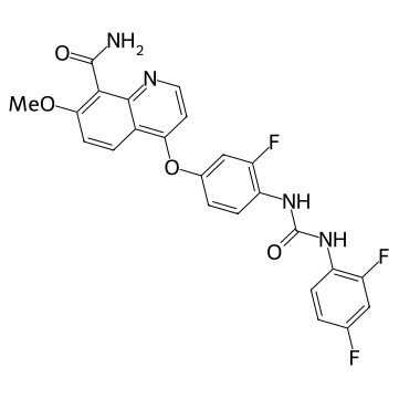 COc1ccc2c(Oc3ccc(NC(=O)Nc4ccc(F)cc4F)c(F)c3)ccnc2c1C(N)=O